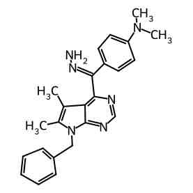 Cc1c(C)n(Cc2ccccc2)c2ncnc(C(=NN)c3ccc(N(C)C)cc3)c12